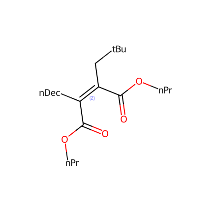 CCCCCCCCCC/C(C(=O)OCCC)=C(\CC(C)(C)C)C(=O)OCCC